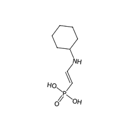 O=P(O)(O)C=CNC1CCCCC1